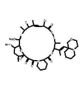 CCC1/C=C(\C)C(F)C(C)CC(OC)C2OC(O)(C(=O)C(=O)N3CCCCC3C(=O)OC(C(C)=CC34CCCCN3CCOC4)C(C)CCC1=O)C(C)CC2OC